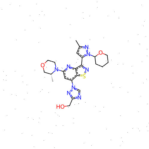 Cc1cc(-c2nsc3c(-n4cnc(CO)n4)cc(N4CCOC[C@H]4C)nc23)n(C2CCCCO2)n1